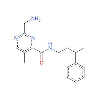 Cc1cnc(CN)nc1C(=O)NCCC(C)c1ccccc1